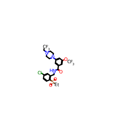 CCS(=O)(=O)c1ccc(Cl)cc1CNC(=O)c1cc(OC(F)(F)F)cc(N2CCN(CC(F)(F)F)CC2)c1